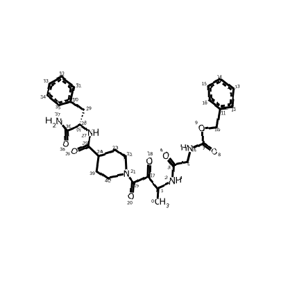 CC(NC(=O)CNC(=O)OCc1ccccc1)C(=O)C(=O)N1CCC(C(=O)N[C@@H](Cc2ccccc2)C(N)=O)CC1